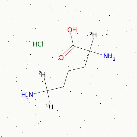 Cl.[2H]C([2H])(N)CCCC([2H])(N)C(=O)O